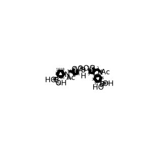 CC(=O)N(Cc1ccc(OBOc2ccc(CN(C(C)=O)c3cccc(B(O)O)c3)o2)o1)c1cccc(B(O)O)c1